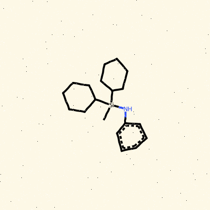 C[Si](Nc1ccccc1)(C1CCCCC1)C1CCCCC1